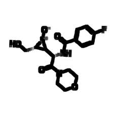 O=C(N[C@H](C(=O)N1CCOCC1)C1[C@H](CO)[S+]1[O-])c1ccc(F)cc1